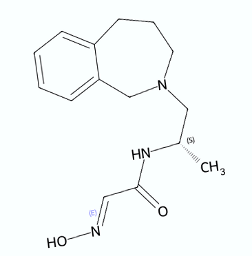 C[C@@H](CN1CCCc2ccccc2C1)NC(=O)/C=N/O